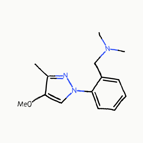 COc1cn(-c2ccccc2CN(C)C)nc1C